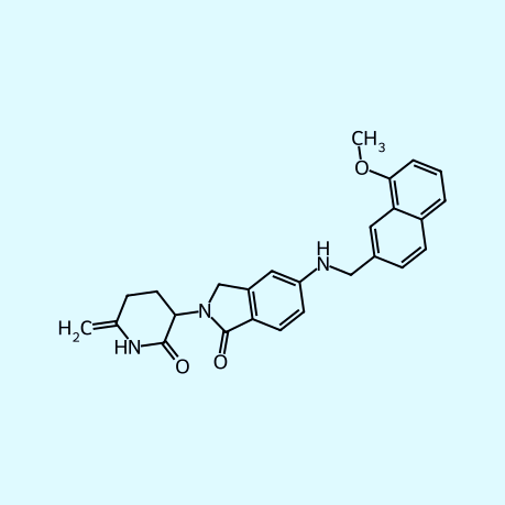 C=C1CCC(N2Cc3cc(NCc4ccc5cccc(OC)c5c4)ccc3C2=O)C(=O)N1